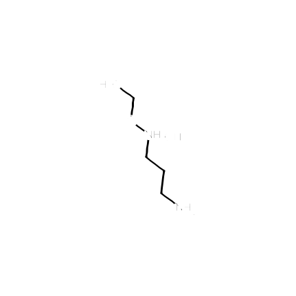 CCONCCCN.Cl